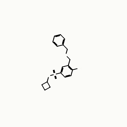 Cc1ccc(S(=O)(=O)OC2CCC2)cc1COCc1ccccc1